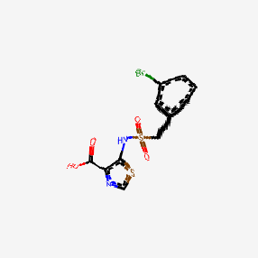 O=C(O)c1ncsc1NS(=O)(=O)Cc1cccc(Br)c1